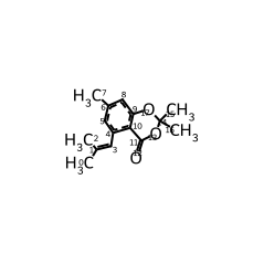 CC(C)=Cc1cc(C)cc2c1C(=O)OC(C)(C)O2